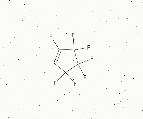 FC1=CC(F)(F)C(F)(F)C1(F)F